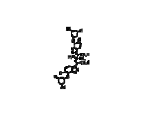 CC(C)(CC(C(=O)O)n1nnc2c(Oc3cc(Cl)cc(C#N)c3)c(Cl)ccc21)C(C(=O)O)n1nnc2c(Oc3cc(Cl)cc(C#N)c3)c(Cl)ccc21